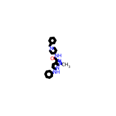 Cn1nc(C(=O)NC2CCN(CC3CCCCC3)CC2)c2ccc(NC3CCCCCC3)nc21